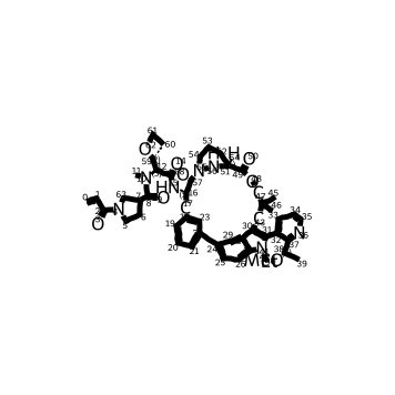 C=CC(=O)N1CCC(C(=O)N(C)[C@H](C(=O)N[C@H]2Cc3cccc(c3)-c3ccc4c(c3)c(c(-c3cccnc3[C@H](C)OC)n4CC)CC(C)(C)COC(=O)[C@@H]3CCCN(N3)C2=O)[C@H]2CCO2)C1